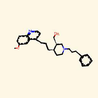 COc1ccc2nccc(CCC[C@@H]3CCN(CCCc4ccccc4)C[C@@H]3CO)c2c1